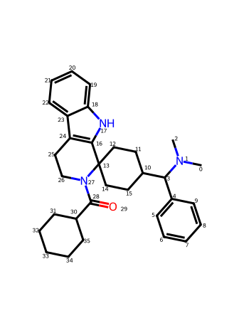 CN(C)C(c1ccccc1)C1CCC2(CC1)c1[nH]c3ccccc3c1CCN2C(=O)C1CCCCC1